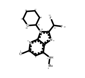 CCC(C)Nc1cc(Cl)nc2c1nc(C(F)F)n2C1CCCCO1